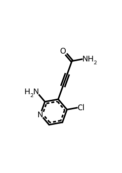 NC(=O)C#Cc1c(Cl)ccnc1N